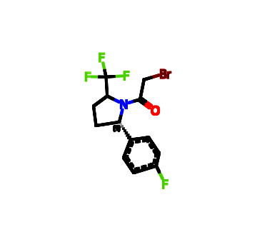 O=C(CBr)N1C(C(F)(F)F)CC[C@H]1c1ccc(F)cc1